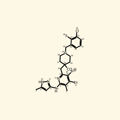 CCc1c(C)c(Nc2cc(C)[nH]n2)nc(CC2(C(=O)O)CCN(Cc3cccc(Cl)c3F)CC2)c1F